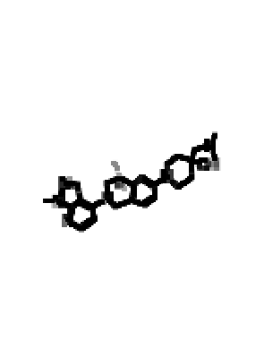 C[C@H]1CN(c2ccnc3c2cnn3C)Cc2ccc(N3CCC(O)(CN(C)C)CC3)cc21